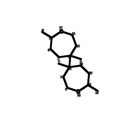 CC1CCC(C)(C2(C)CCOC(C)CC2)CCO1